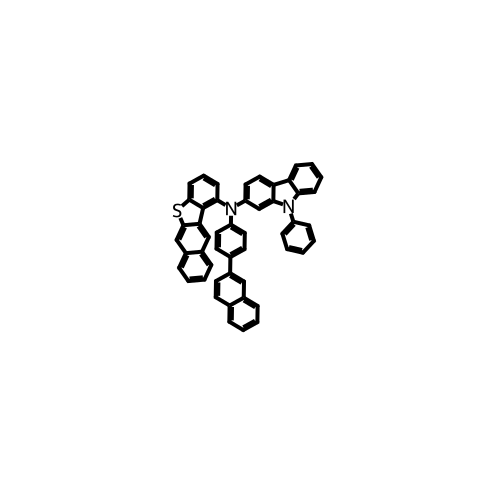 c1ccc(-n2c3ccccc3c3ccc(N(c4ccc(-c5ccc6ccccc6c5)cc4)c4cccc5sc6cc7ccccc7cc6c45)cc32)cc1